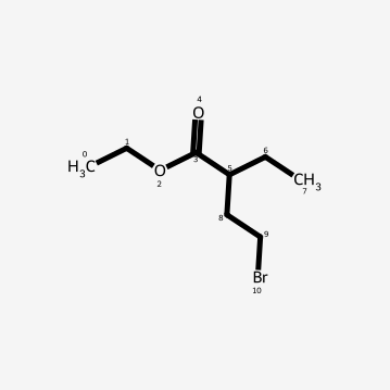 CCOC(=O)C(CC)CCBr